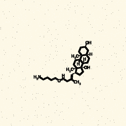 C/C(=C\[C@H]1CC[C@]2(O)[C@@H]3CC[C@@H]4C[C@@H](O)CC[C@]4(C)[C@H]3CC[C@]12C)CNOCCCCN